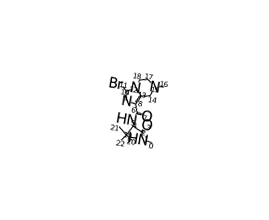 CNC(=O)C(NC(=O)c1nc(Br)n2c1CN(C)CC2)C(C)(C)C